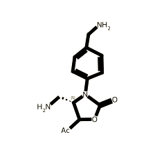 CC(=O)C1OC(=O)N(c2ccc(CN)cc2)[C@H]1CN